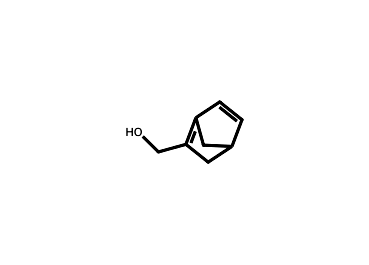 OCC1=C2C=CC(C2)C1